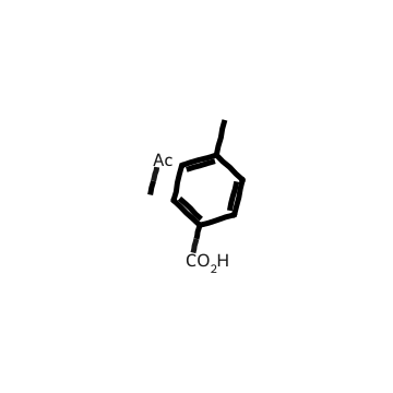 CC(C)=O.Cc1ccc(C(=O)O)cc1